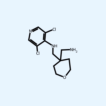 NCC1(CNc2c(Cl)cncc2Cl)CCOCC1